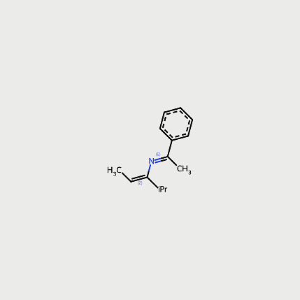 C/C=C(\N=C(/C)c1ccccc1)C(C)C